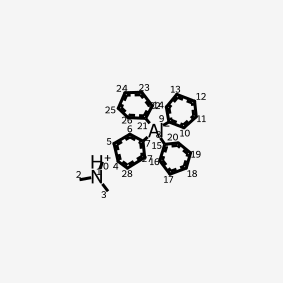 C[NH+](C)C.c1cc[c]([Al-]([c]2ccccc2)([c]2ccccc2)[c]2ccccc2)cc1